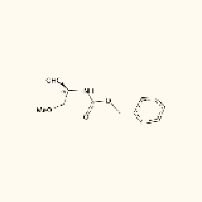 COC[C@@H](C=O)NC(=O)OCc1ccccc1